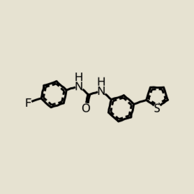 O=C(Nc1ccc(F)cc1)Nc1cccc(-c2cccs2)c1